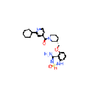 NC1=NS(=O)(=O)Nc2cccc(OC[C@H]3CCCN(C(=O)c4ccnc(C5CCCCC5)c4)C3)c21